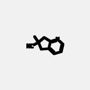 CC1(C#N)Cc2cccnc2C1